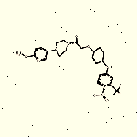 COc1ccc(N2CCN(C(=O)COC3CCC(Nc4ccc([N+](=O)[O-])c(C(F)(F)F)c4)CC3)CC2)cn1